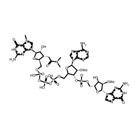 CO[C@@H]1[C@H](O)[C@@H](COP(=O)([O-])O[C@@H]2C(COP(=O)(O)OP(=O)(O)OP(=O)(O)OC[C@H]3O[C@@H](n4c[n+](C)c5c(=O)[nH]c(N)nc54)[C@H](O)[C@@H]3CC(=O)N(C)C)O[C@@H](n3cnc4c(N)ncnc43)[C@@H]2OC)O[C@H]1n1cnc2c(=O)[nH]c(N)nc21